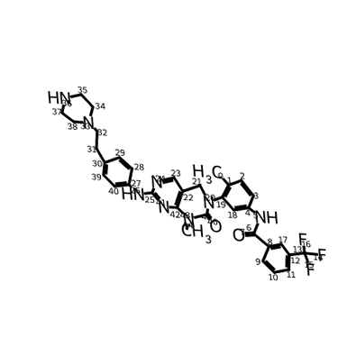 Cc1ccc(NC(=O)c2cccc(C(F)(F)F)c2)cc1N1Cc2cnc(Nc3ccc(CCN4CCNCC4)cc3)nc2N(C)C1=O